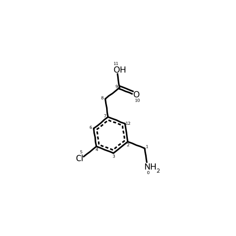 NCc1cc(Cl)cc(CC(=O)O)c1